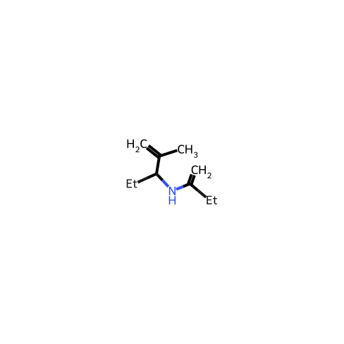 C=C(CC)NC(CC)C(=C)C